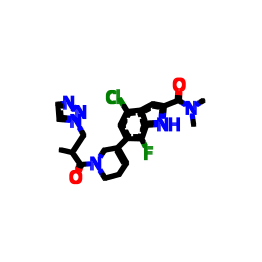 CC(Cn1ccnn1)C(=O)N1CCC=C(c2cc(Cl)c3cc(C(=O)N(C)C)[nH]c3c2F)C1